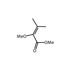 COC(=O)C(OC)=C(C)C